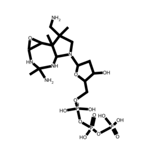 CC1(N)NC2OC2C2(C)C(N1)N(C1CC(O)C(CO[PH](O)(O)OP(=O)(O)OP(=O)(O)O)O1)CC2(C)CN